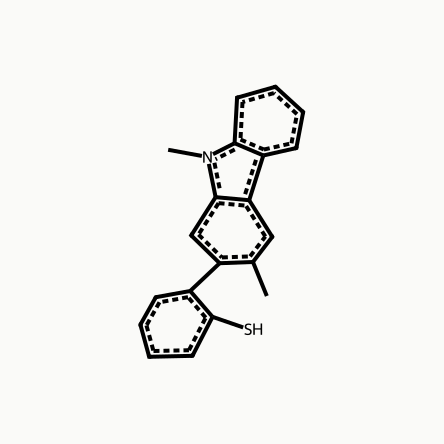 Cc1cc2c3ccccc3n(C)c2cc1-c1ccccc1S